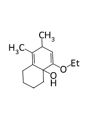 CCOC1=CC(C)C(C)=C2CCCCC12O